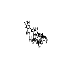 BC1(B)N(C(=O)CN(C)C)C(B)(B)C(B)(B)N(c2ccc3[nH]c(-c4cn5ncnc5c(C)c4C)c(C(C)C)c3n2)C1(B)B